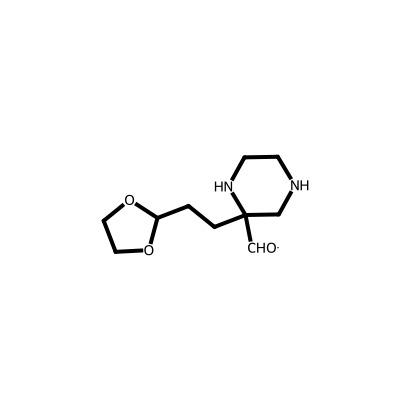 O=[C]C1(CCC2OCCO2)CNCCN1